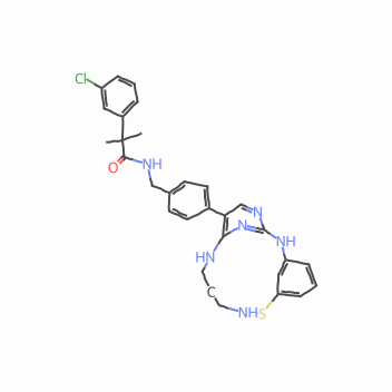 CC(C)(C(=O)NCc1ccc(-c2cnc3nc2NCCCNSc2cccc(c2)N3)cc1)c1cccc(Cl)c1